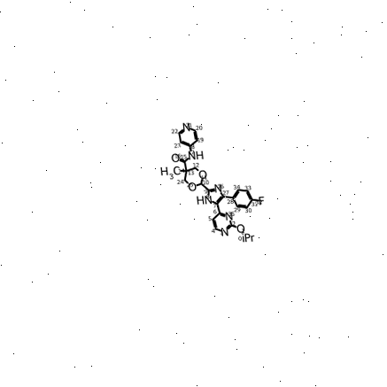 CC(C)Oc1nccc(-c2[nH]c(C3OCC(C)(C(=O)Nc4ccncc4)CO3)nc2-c2ccc(F)cc2)n1